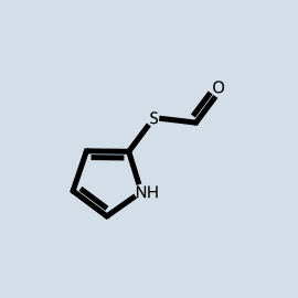 O=CSc1ccc[nH]1